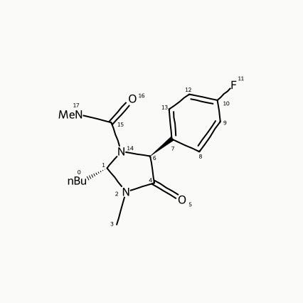 CCCC[C@H]1N(C)C(=O)[C@H](c2ccc(F)cc2)N1C(=O)NC